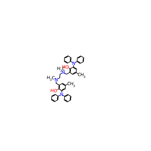 Cc1cc(CN(C)CCN(C)Cc2cc(C)cc(N(c3ccccc3)c3ccccc3)c2O)c(O)c(N(c2ccccc2)c2ccccc2)c1